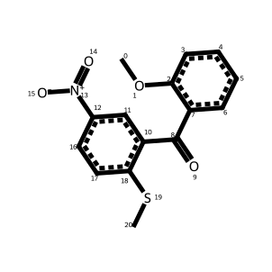 COc1ccccc1C(=O)c1cc([N+](=O)[O-])ccc1SC